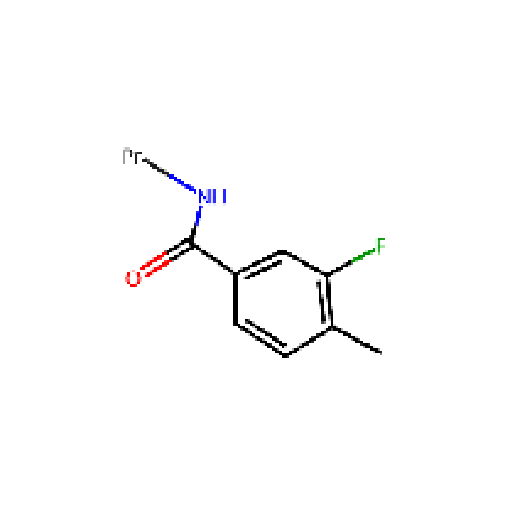 Cc1ccc(C(=O)NC(C)C)cc1F